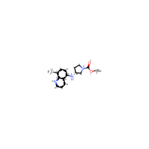 CC(C)(C)OC(=O)N1CC[C@@H](Nc2ccc(C(F)(F)F)c3ncccc23)C1